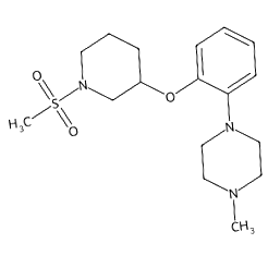 CN1CCN(c2ccccc2OC2CCCN(S(C)(=O)=O)C2)CC1